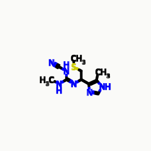 CNC(=NC(CSC)c1nc[nH]c1C)NC#N